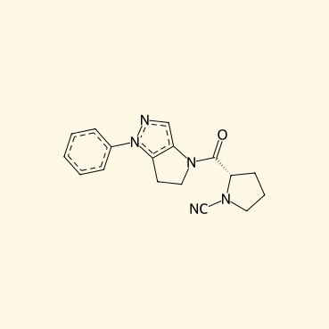 N#CN1CCC[C@H]1C(=O)N1CCc2c1cnn2-c1ccccc1